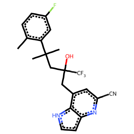 Cc1ccc(F)cc1C(C)(C)CC(O)(Cc1cc(C#N)nc2cc[nH]c12)C(F)(F)F